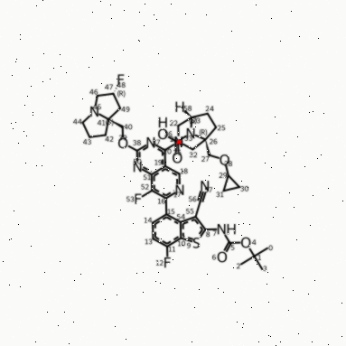 CC(C)(C)OC(=O)Nc1sc2c(F)ccc(-c3ncc4c(N5C[C@@H]6CC[C@](COC7CC7)(C5)N6C(=O)O)nc(OC[C@@]56CCCN5C[C@H](F)C6)nc4c3F)c2c1C#N